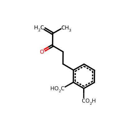 C=C(C)C(=O)CCc1cccc(C(=O)O)c1C(=O)O